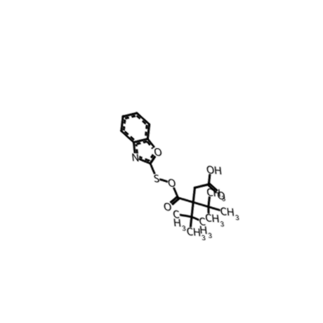 CC(C)(C)C(CC(=O)O)(C(=O)OSc1nc2ccccc2o1)C(C)(C)C